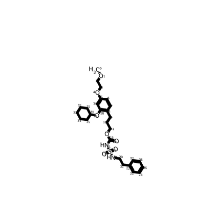 COCCOc1ccc(CCCOC(=O)NS(=O)(=O)NCCc2ccccc2)c(OC2CCCCC2)c1